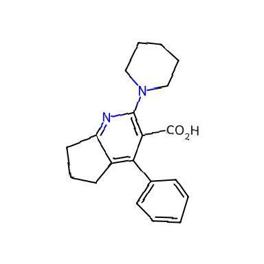 O=C(O)c1c(N2CCCCC2)nc2c(c1-c1ccccc1)CCC2